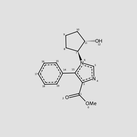 COC(=O)c1ncn([C@H]2CCC[C@@H]2O)c1-c1ccccc1